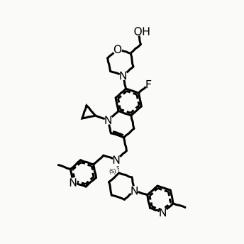 Cc1ccc(N2CCC[C@H](N(CC3=CN(C4CC4)c4cc(N5CCOC(CO)C5)c(F)cc4C3)Cc3ccnc(C)c3)C2)cn1